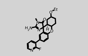 CCOC1CCC2Oc3ccc(-c4cccnc4F)cc3C3(N=C(N)N(C)C3=O)[C@H]2C1